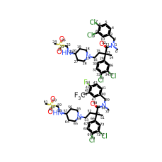 CN(Cc1ccc(Cl)c(Cl)c1)C(=O)C(C)(CCN1CCC(NCS(C)(=O)=O)CC1)c1ccc(Cl)c(Cl)c1.CN(Cc1ccc(F)c(C(F)(F)F)c1)C(=O)C(C)(CCN1CCC(NCS(C)(=O)=O)CC1)c1ccc(Cl)c(Cl)c1